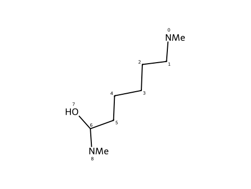 CNCCCCCC(O)NC